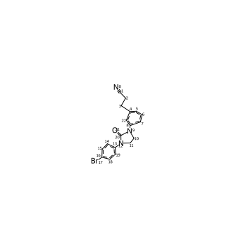 N#CCCc1cccc(N2CCN(c3ccc(Br)cc3)C2=O)c1